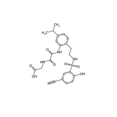 CC(C)c1ccc(CCNS(=O)(=O)c2cc(C#N)ccc2O)c(NC(=O)C(=O)NCC(=O)O)c1